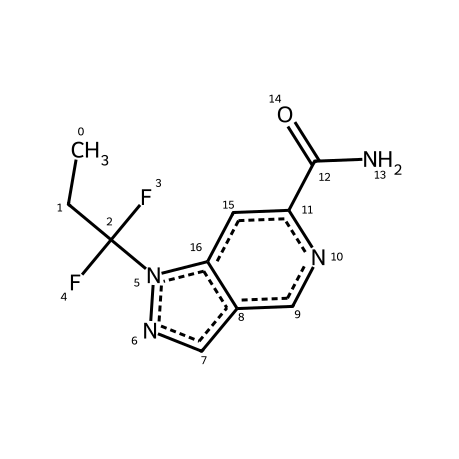 CCC(F)(F)n1ncc2cnc(C(N)=O)cc21